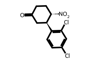 O=C1CC[C@H]([N+](=O)[O-])[C@@H](c2ccc(Cl)cc2Cl)C1